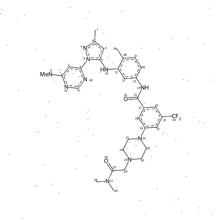 CNc1cc(-n2nc(C)cc2Nc2cc(NC(=O)c3cc(N4CCN(CC(=O)N(C)C)CC4)cc(C(F)(F)F)c3)ccc2C)ncn1